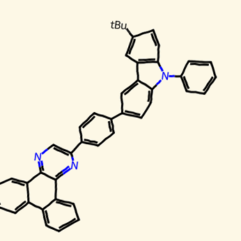 CC(C)(C)c1ccc2c(c1)c1cc(-c3ccc(-c4cnc5c6ccccc6c6ccccc6c5n4)cc3)ccc1n2-c1ccccc1